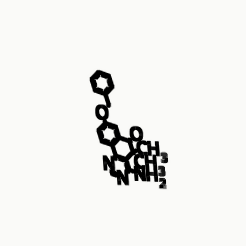 CC1(C)C(=O)c2cc(OCc3ccccc3)ccc2-c2ncnc(N)c21